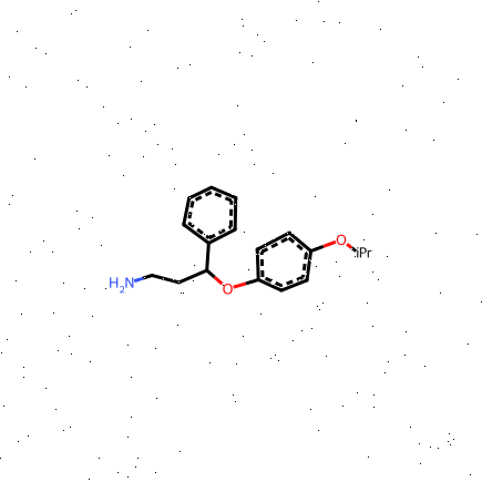 CC(C)Oc1ccc(OC(CCN)c2ccccc2)cc1